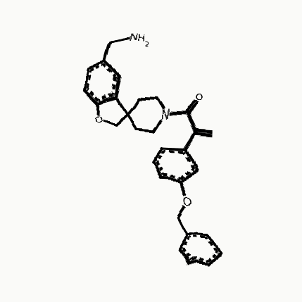 C=C(C(=O)N1CCC2(CC1)COc1ccc(CN)cc12)c1cccc(OCc2ccccc2)c1